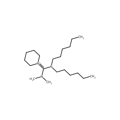 CCCCCCN(CCCCCC)C(N(C)C)=[N+]1CCCCC1